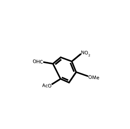 COc1cc(OC(C)=O)c(C=O)cc1[N+](=O)[O-]